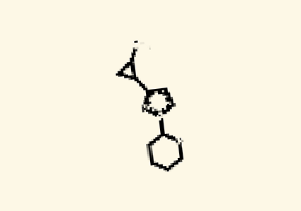 CC1CC1c1ccn(C2CCCCO2)n1